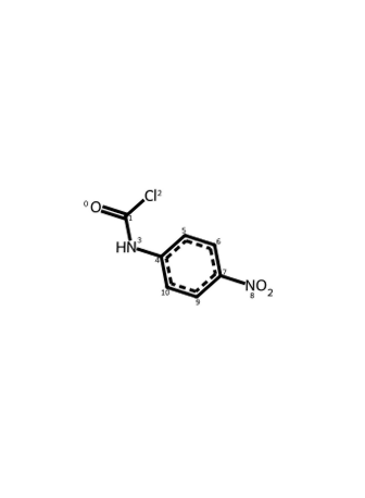 O=C(Cl)Nc1ccc([N+](=O)[O-])cc1